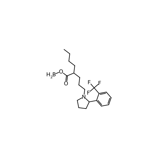 BOC(=O)C(CCCC)CCCN1CCCC1c1ccccc1C(F)(F)F